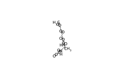 C=CC(=O)OCCCCOC(=O)CCCCC(=O)OCCOC(=O)NCC(C)CCCNC(=O)OCCOC=O